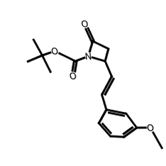 COc1cccc(C=CC2CC(=O)N2C(=O)OC(C)(C)C)c1